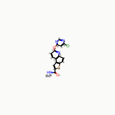 CC[C@@H](C)NC(=O)c1cc2c(ccc3nc(Oc4cc(Cl)ncn4)ccc32)s1